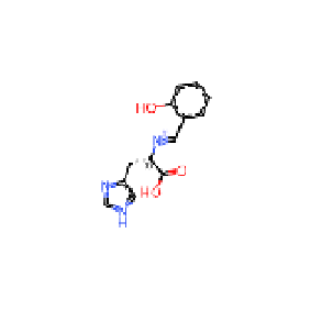 O=C(O)[C@H](Cc1c[nH]cn1)/N=C/c1ccccc1O